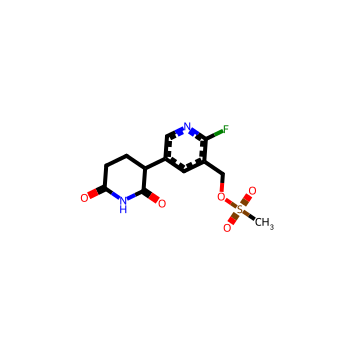 CS(=O)(=O)OCc1cc(C2CCC(=O)NC2=O)cnc1F